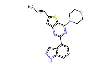 C/C=C/c1cc2nc(-c3cccc4[nH]ncc34)nc(N3CCOCC3)c2s1